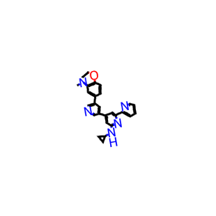 CN1CCOc2ccc(-c3cncc(-c4cc(NC5CC5)nc(-c5ccccn5)c4)c3)cc21